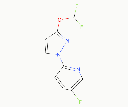 Fc1ccc(-n2ccc(OC(F)F)n2)nc1